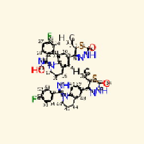 CCC1SC(=O)NN=C1c1ccc2c(c1)CCCN2/C(=N\O)c1ccc(F)cc1.CCC1SC(=O)NN=C1c1ccc2c(c1)CCCN2C(=N)c1ccc(F)cc1